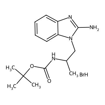 Br.CC(Cn1c(N)nc2ccccc21)NC(=O)OC(C)(C)C